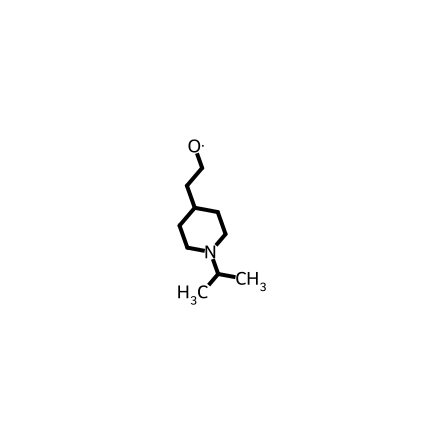 CC(C)N1CCC(CC[O])CC1